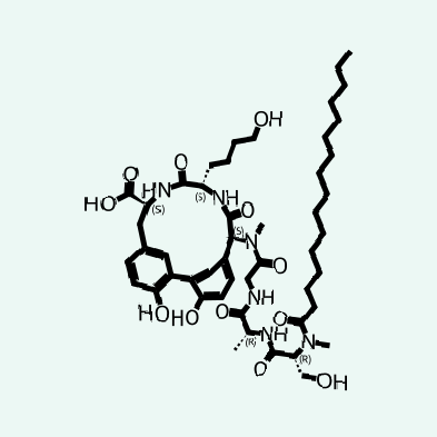 CCCCCCCCCCCCCCCC(=O)N(C)[C@H](CO)C(=O)N[C@H](C)C(=O)NCC(=O)N(C)[C@@H]1C(=O)N[C@@H](CCCCO)C(=O)N[C@H](C(=O)O)Cc2ccc(O)c(c2)-c2cc1ccc2O